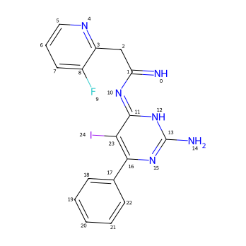 N=C(Cc1ncccc1F)/N=c1\[nH]c(N)nc(-c2ccccc2)c1I